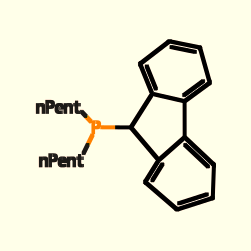 CCCCCP(CCCCC)C1c2ccccc2-c2ccccc21